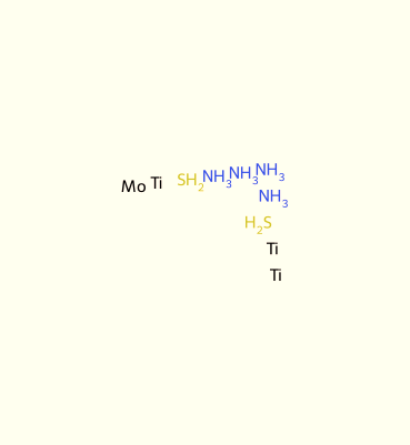 N.N.N.N.S.S.[Mo].[Ti].[Ti].[Ti]